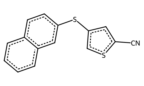 N#Cc1cc(Sc2ccc3ccccc3c2)cs1